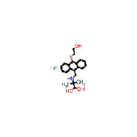 CC(C)(NCc1c2ccccc2c(SCCO)c2ccccc12)C(O)O.Cl